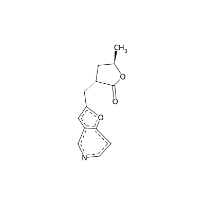 C[C@@H]1C[C@@H](Cc2cc3cnccc3o2)C(=O)O1